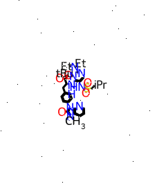 CCN(CC)c1ncc(NS(=O)(=O)CC(C)C)c(NC(Cc2ccc(-n3c(=O)n(C)c4cccnc43)cc2)C(=O)OC(C)(C)C)n1